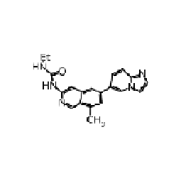 CCNC(=O)Nc1cc2cc(-c3ccc4nccn4c3)cc(C)c2cn1